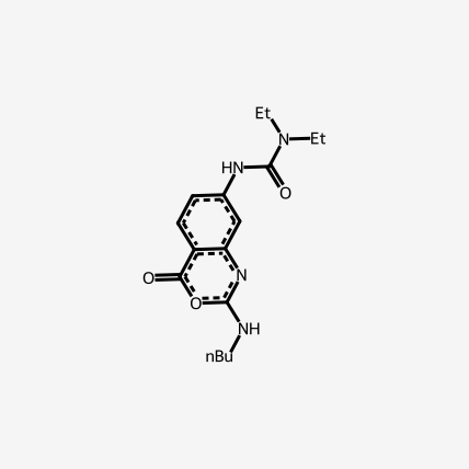 CCCCNc1nc2cc(NC(=O)N(CC)CC)ccc2c(=O)o1